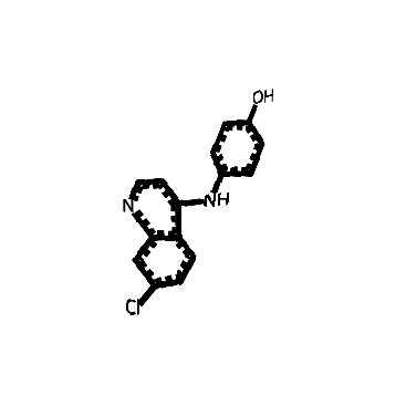 Oc1ccc(Nc2ccnc3cc(Cl)ccc23)cc1